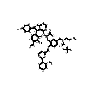 COCCN(Cc1ccc(OCc2ccnc(-c3ccccc3OC)n2)c(CC(Oc2ncnc3sc(-c4ccc(F)cc4)c(-c4ccc(C=O)c(Cl)c4C)c23)C(=O)O)c1)C(=O)OC(C)(C)C